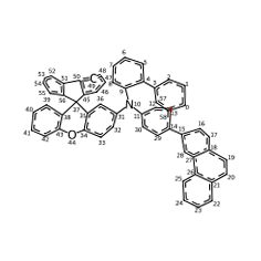 c1ccc(-c2ccccc2N(c2ccc(-c3ccc4ccc5ccccc5c4c3)cc2)c2ccc3c(c2)C2(c4ccccc4O3)c3ccccc3-c3ccccc32)cc1